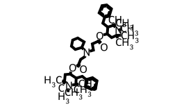 CN1C(C)(C)CC(OC(=O)CCN(CCC(=O)OC2CC(C)(C)N(C)C(C)(C)C2Cc2ccccc2)C2CCCCC2)C(Cc2ccccc2)C1(C)C